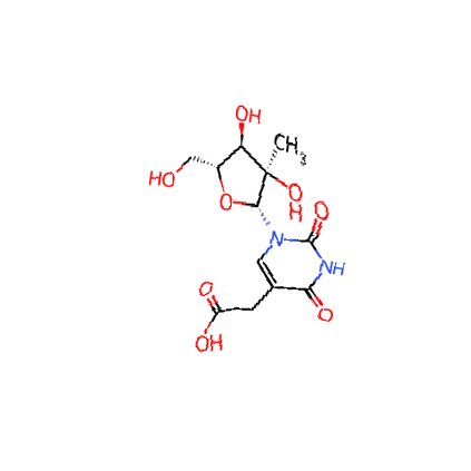 C[C@@]1(O)[C@H](O)[C@@H](CO)O[C@H]1n1cc(CC(=O)O)c(=O)[nH]c1=O